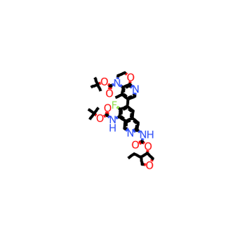 CCC1COCC1OC(=O)Nc1cc2cc(-c3cnc4c(c3C)N(C(=O)OC(C)(C)C)CCO4)c(F)c(NC(=O)OC(C)(C)C)c2cn1